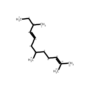 CCC(C)C=CCC(C)CCC=C(C)C